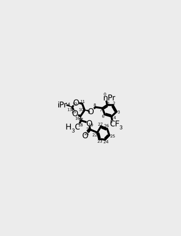 CCCc1ccc(C(F)(F)F)cc1CO[C@@H]1CO[C@H](C(C)C)O[C@@H]1C(C)OC(=O)c1ccccc1